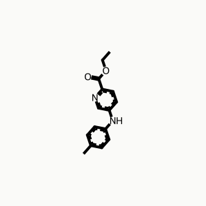 CCOC(=O)c1ccc(Nc2ccc(C)cc2)cn1